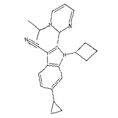 CC(C)N1C=CC=NC1c1c(C#N)c2ccc(C3CC3)cc2n1C1CCC1